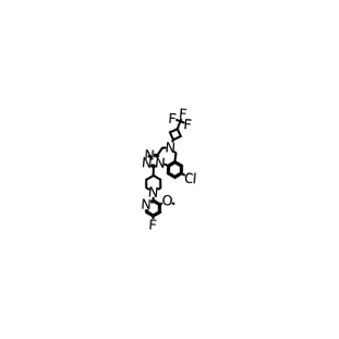 COc1cc(F)cnc1N1CCC(c2nnc3n2-c2ccc(Cl)cc2CN(C2CC(C(F)(F)F)C2)C3)CC1